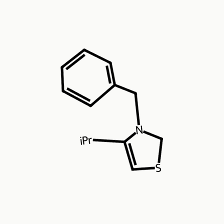 CC(C)C1=CSCN1Cc1ccccc1